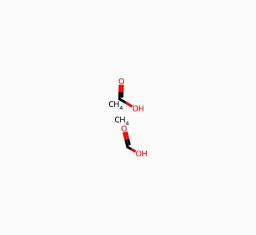 C.C.O=CO.O=CO